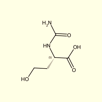 NC(=O)N[C@@H](CCO)C(=O)O